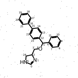 C1=NC(COC(c2ccccc2)c2ccc(-c3ccccc3)cc2)CN1